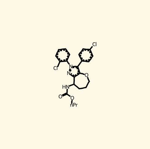 CCCOC(=O)NC1CCCOc2c1nn(-c1ccccc1Cl)c2-c1ccc(Cl)cc1